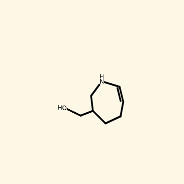 OCC1CCC=CNC1